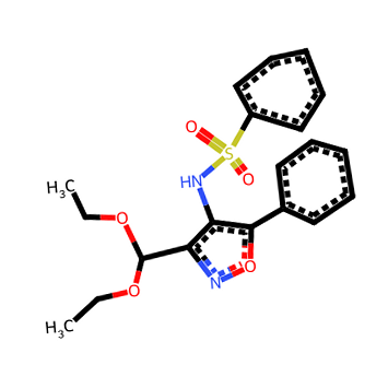 CCOC(OCC)c1noc(-c2ccccc2)c1NS(=O)(=O)c1ccccc1